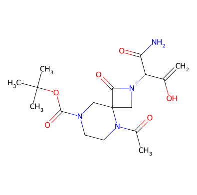 C=C(O)[C@@H](C(N)=O)N1CC2(CN(C(=O)OC(C)(C)C)CCN2C(C)=O)C1=O